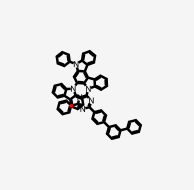 c1ccc(-c2cccc(-c3ccc(-c4nc(-c5ccccc5)nc(-n5c6ccccc6c6c7c8ccccc8n(-c8ccccc8)c7cc(-n7c8ccccc8c8ccccc87)c65)n4)cc3)c2)cc1